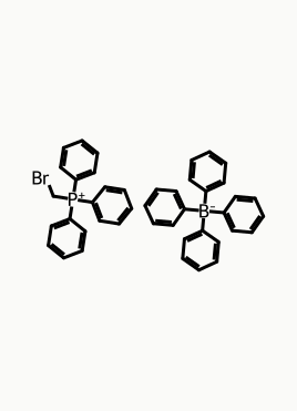 BrC[P+](c1ccccc1)(c1ccccc1)c1ccccc1.c1ccc([B-](c2ccccc2)(c2ccccc2)c2ccccc2)cc1